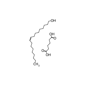 CCCCCCCC/C=C\CCCCCCCCO.O=C(O)CCCCC(=O)O